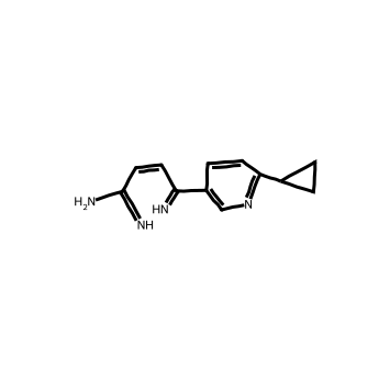 N=C(N)/C=C\C(=N)c1ccc(C2CC2)nc1